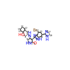 O=c1[nH]ccc(NC(CO)Cc2ccccc2)c1-c1nc2c(Br)cc(C3=NCCN3)cc2[nH]1